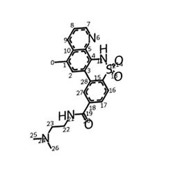 Cc1cc2c(c3ncccc13)NS(=O)(=O)c1ccc(C(=O)NCCN(C)C)cc1-2